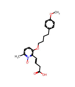 COc1ccc(CCCCOc2ccc(C)[n+]([O-])c2C=CCC(=O)O)cc1